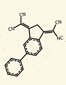 [C-]#[N+]/C(C#N)=C1/C/C(=C(\C#N)[N+]#[C-])c2cc(-c3ccccc3)ccc21